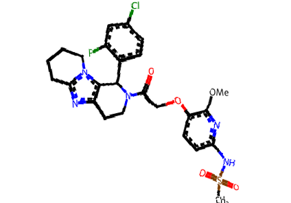 COc1nc(NS(C)(=O)=O)ccc1OCC(=O)N1CCc2nc3n(c2C1c1ccc(Cl)cc1F)CCCC3